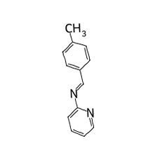 Cc1ccc(C=Nc2ccccn2)cc1